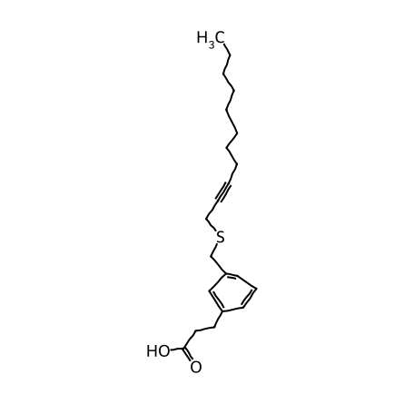 CCCCCCCCC#CCSCc1cccc(CCC(=O)O)c1